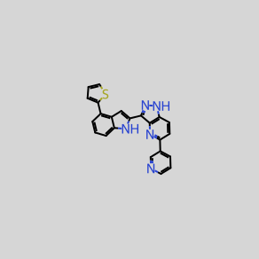 c1cncc(-c2ccc3[nH]nc(-c4cc5c(-c6cccs6)cccc5[nH]4)c3n2)c1